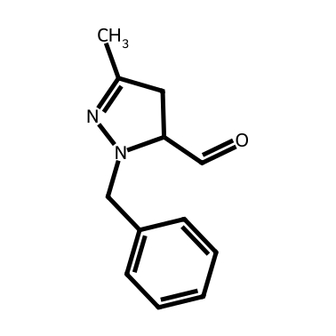 CC1=NN(Cc2ccccc2)C(C=O)C1